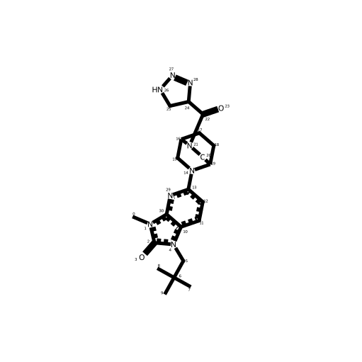 Cn1c(=O)n(CC(C)(C)C)c2ccc(N3CC4CCC3CN4C(=O)C3CNN=N3)nc21